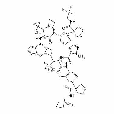 Cn1nccc1C(=O)N[C@H](C(=O)Nc1ccc(C2(C(=O)NCC3(C)CCC3)CCOC2)cc1F)C(C1CCC1Cn1nccc1C(=O)N[C@H](C(=O)Nc1cccc(C2(C(=O)NCC(F)(F)F)CCOC2)c1)C(C1CCC1)C1(C)CC1)C1(C)CC1